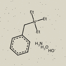 CC[N+](CC)(CC)Cc1ccccc1.N.O.[OH-]